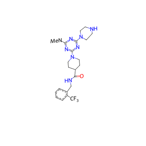 CNc1nc(N2CCNCC2)nc(N2CCC(C(=O)NCc3ccccc3C(F)(F)F)CC2)n1